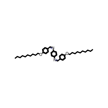 CCCCCCCCCCOc1ccc(/C=N\c2ccc(/N=C\c3ccc(OCCCCCCCCCC)cc3)cc2)cc1